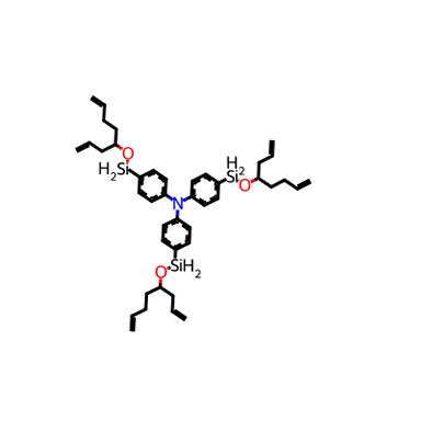 C=CCCC(CC=C)O[SiH2]c1ccc(N(c2ccc([SiH2]OC(CC=C)CCC=C)cc2)c2ccc([SiH2]OC(CC=C)CCC=C)cc2)cc1